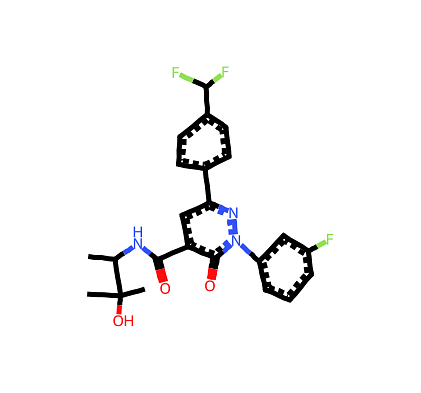 CC(NC(=O)c1cc(-c2ccc(C(F)F)cc2)nn(-c2cccc(F)c2)c1=O)C(C)(C)O